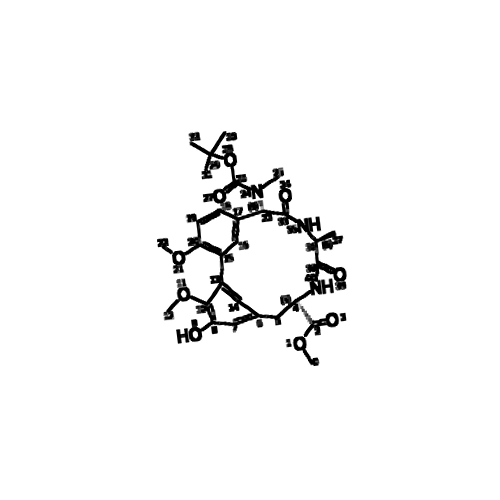 COC(=O)[C@@H]1Cc2cc(O)c(OC)c(c2)-c2cc(ccc2OC)[C@H](N(C)C(=O)OC(C)(C)C)C(=O)N[C@@H](C)C(=O)N1